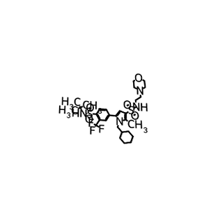 Cc1c(S(=O)(=O)NCCN2CCOCC2)cc(-c2ccc(S(=O)(=O)NC(C)(C)C)c(C(F)(F)F)c2)n1CC1CCCCC1